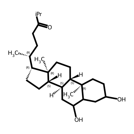 CC(C)C(=O)CC[C@@H](C)[C@H]1CC[C@H]2[C@@H]3CC(O)C4CC(O)CC[C@]4(C)[C@H]3CC[C@]12C